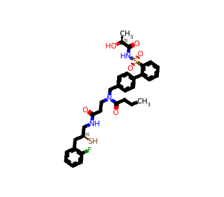 CCCC(=O)N(CCC(=O)NC[C@@H](S)Cc1ccccc1F)Cc1ccc(-c2ccccc2S(=O)(=O)NC(=O)[C@H](C)O)cc1